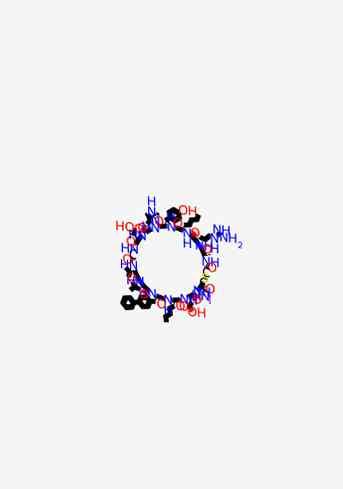 CCCCC[C@@H]1NC(=O)[C@H](CCCNC(=N)N)NC(=O)[C@H](C)NC(=O)CSC[C@@H](C(=O)NI)NC(=O)[C@H](CC(=O)O)NC(=O)[C@H](CCCCC)NC(=O)[C@H](Cc2ccc(-c3ccccc3)cc2)NC(=O)[C@H](CC(C)C)NC(=O)[C@H](C(C)C)NC(=O)CNC(=O)[C@H](CC(=O)O)NC(=O)[C@H](Cc2c[nH]cn2)NC(=O)[C@H](Cc2ccc(O)cc2)NC1=O